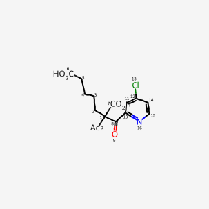 CC(=O)C(CCCCC(=O)O)(C(=O)O)C(=O)c1cc(Cl)ccn1